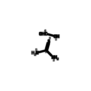 NC(N)=S.O=CO